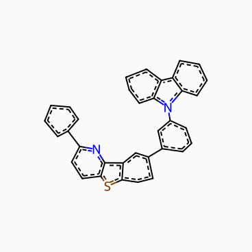 c1ccc(-c2ccc3sc4ccc(-c5cccc(-n6c7ccccc7c7ccccc76)c5)cc4c3n2)cc1